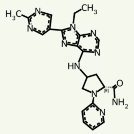 CCn1c(-c2cnc(C)nc2)nc2c(NC3C[C@H](C(N)=O)N(c4ccccn4)C3)ncnc21